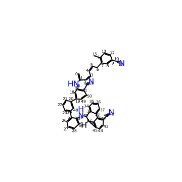 C=C(/C=C\C=C/Cc1cc(C#N)ccc1C)Nc1cc(-c2cccc(-c3ccccc3NC3c4ccccc4-c4c(C#N)ccc5c4[C@H]53)c2)ccc1C#N